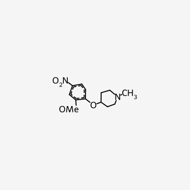 COc1cc([N+](=O)[O-])ccc1OC1CCN(C)CC1